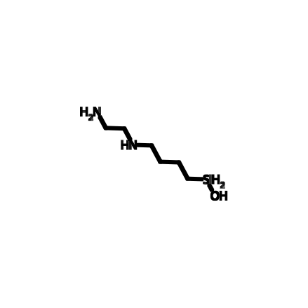 NCCNCCCC[SiH2]O